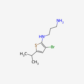 CC(C)c1cc(Br)c(NCCCN)s1